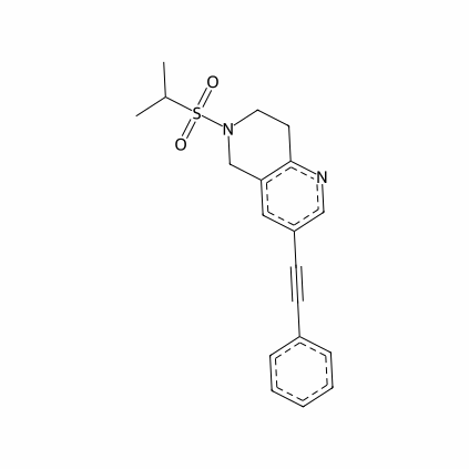 CC(C)S(=O)(=O)N1CCc2ncc(C#Cc3ccccc3)cc2C1